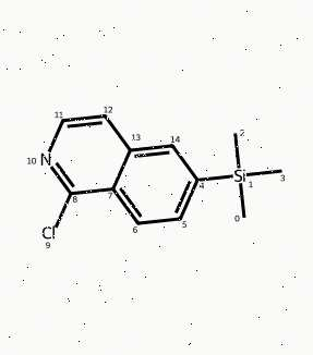 C[Si](C)(C)c1ccc2c(Cl)nccc2c1